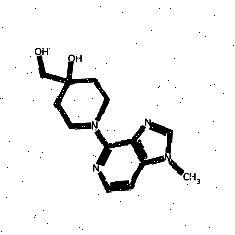 Cn1cnc2c(N3CCC(O)(CO)CC3)nccc21